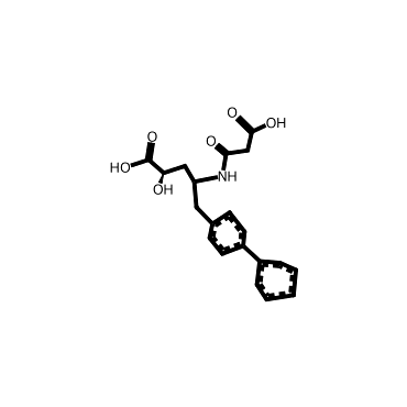 O=C(O)CC(=O)NC(Cc1ccc(-c2ccccc2)cc1)C[C@@H](O)C(=O)O